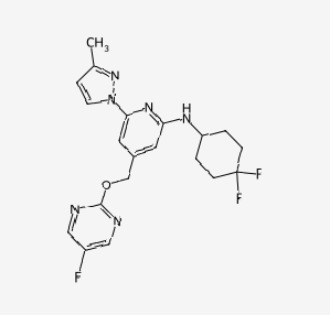 Cc1ccn(-c2cc(COc3ncc(F)cn3)cc(NC3CCC(F)(F)CC3)n2)n1